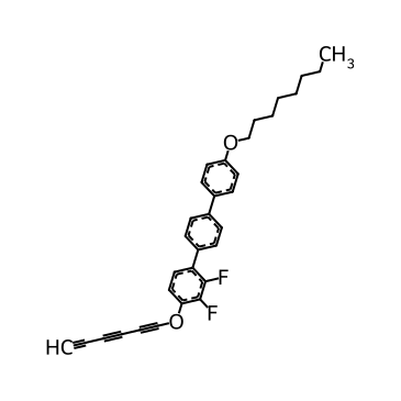 C#CC#CC#COc1ccc(-c2ccc(-c3ccc(OCCCCCCCC)cc3)cc2)c(F)c1F